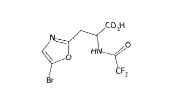 O=C(O)C(Cc1ncc(Br)o1)NC(=O)C(F)(F)F